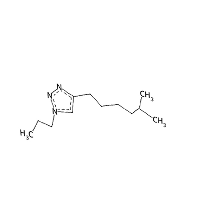 CCCn1cc(CCCCC(C)C)nn1